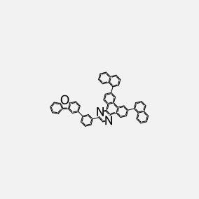 c1cc(-c2ccc3oc4ccccc4c3c2)cc(-c2cnc3c4ccc(-c5cccc6ccccc56)cc4c4cc(-c5cccc6ccccc56)ccc4c3n2)c1